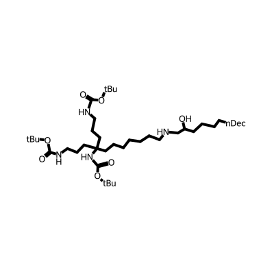 CCCCCCCCCCCCCCC(O)CNCCCCCCCC(CCCNC(=O)OC(C)(C)C)(CCCNC(=O)OC(C)(C)C)NC(=O)OC(C)(C)C